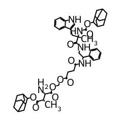 CC(C(=O)OC1C2CC3CC(C2)CC1C3)C(N)C(=O)OCOC(=O)CCC(=O)NC(CNC(=O)C(C)(Cc1c[nH]c2ccccc12)NC(=O)OC1C2CC3CC(C2)CC1C3)c1ccccc1